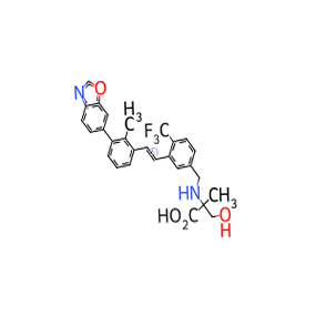 Cc1c(/C=C/c2cc(CNC(C)(CO)C(=O)O)ccc2C(F)(F)F)cccc1-c1ccc2ncoc2c1